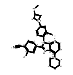 COC1CN(c2ccc(-n3c(-c4ccc(C#N)c(F)c4)nc4c(N5CCCCC5)ccnc43)c(F)c2)C1